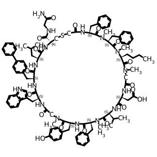 CCCC[C@H]1C(=O)N(C)CC(=O)N[C@@H](CC(=O)O)C(=O)N[C@@H](C(C)C)C(=O)N(C)[C@@H](Cc2ccccc2)C(=O)N[C@@H](Cc2ccc(O)cc2)C(=O)N(C)CC(=O)N[C@@H](Cc2c[nH]c3ccccc23)C(=O)N[C@@H](Cc2ccc(-c3ccccc3)cc2)C(=O)N[C@@H](CC(C)C)C(=O)N[C@H](C(=O)NCC(N)=O)CSCC(=O)N[C@@H](Cc2ccccc2)C(=O)N(C)[C@@H](Cc2ccccc2)C(=O)N1C